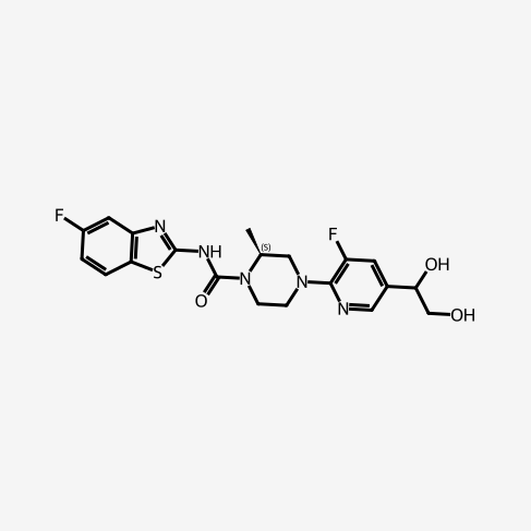 C[C@H]1CN(c2ncc(C(O)CO)cc2F)CCN1C(=O)Nc1nc2cc(F)ccc2s1